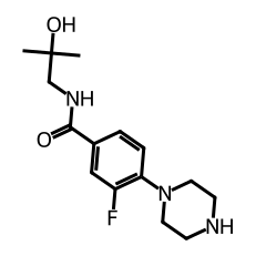 CC(C)(O)CNC(=O)c1ccc(N2CCNCC2)c(F)c1